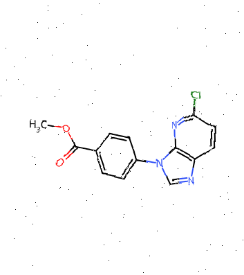 COC(=O)c1ccc(-n2cnc3ccc(Cl)nc32)cc1